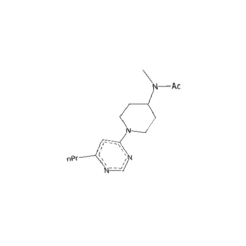 CCCc1cc(N2CCC(N(C)C(C)=O)CC2)ncn1